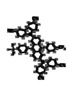 CC(F)(F)c1ccc(-c2c3ccc(-n4c5ccc(C#N)cc5c5cc(C#N)ccc54)cc3c(-c3ccc(C(F)(F)F)cc3)c3ccc(-n4c5ccc(C#N)cc5c5cc(C#N)ccc54)cc23)cc1